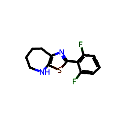 Fc1cccc(F)c1-c1nc2c(s1)NCCCC2